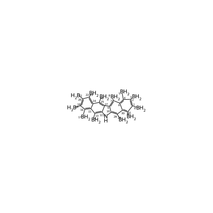 Bc1c(B)c(B)c2c(B)c3c([nH]c4c(B)c5c(B)c(B)c(B)c(B)c5c(B)c43)c(B)c2c1B